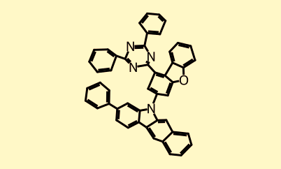 c1ccc(-c2ccc3c4cc5ccccc5cc4n(-c4cc(-c5nc(-c6ccccc6)nc(-c6ccccc6)n5)c5c(c4)oc4ccccc45)c3c2)cc1